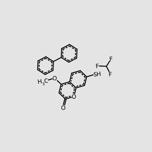 COc1cc(=O)oc2cc(S)ccc12.FC(F)F.c1ccc(-c2ccccc2)cc1